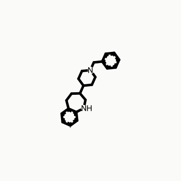 [c]1ccc2c(c1)NCC(C1CCN(Cc3ccccc3)CC1)CC2